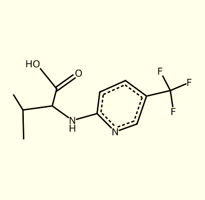 CC(C)C(Nc1ccc(C(F)(F)F)cn1)C(=O)O